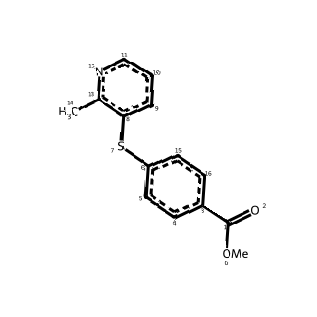 COC(=O)c1ccc(Sc2cccnc2C)cc1